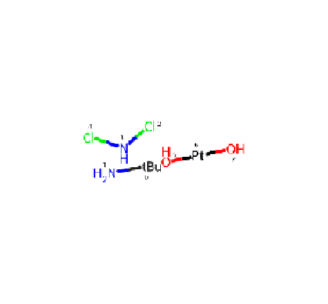 CC(C)(C)N.ClNCl.[OH][Pt][OH]